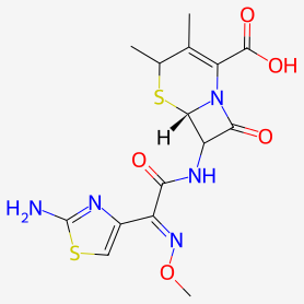 CON=C(C(=O)NC1C(=O)N2C(C(=O)O)=C(C)C(C)S[C@@H]12)c1csc(N)n1